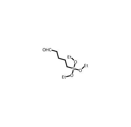 CCO[Si](CCCCC=O)(OCC)OCC